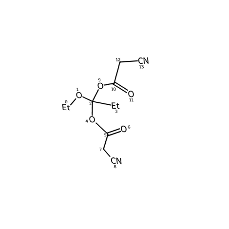 CCOC(CC)(OC(=O)CC#N)OC(=O)CC#N